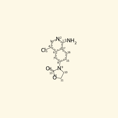 Nc1ncc(Cl)c2cc(N3CCOC3=O)ccc12